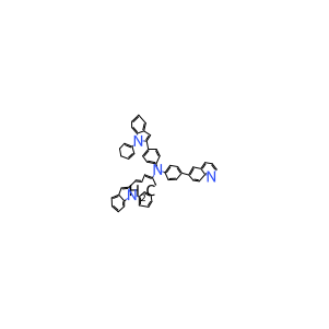 C=C/C(=C\C=C\c1cc2ccccc2n1-c1ccccc1)N(c1ccc(-c2ccc3ncccc3c2)cc1)c1ccc(-c2cc3ccccc3n2C2=CCCC=C2)cc1